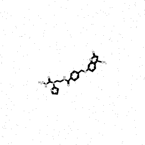 CNC(=O)N(CCNC(=O)c1ccc(COc2ccc3c(C)cc(=O)oc3c2)cc1)c1cccs1